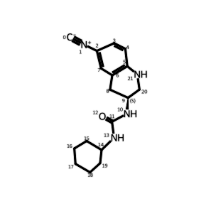 [C-]#[N+]c1ccc2c(c1)C[C@H](NC(=O)NC1CCCCC1)CN2